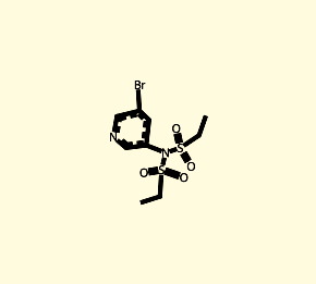 CCS(=O)(=O)N(c1cncc(Br)c1)S(=O)(=O)CC